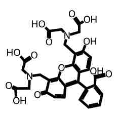 O=C(O)CN(CC(=O)O)Cc1c2oc3c(CN(CC(=O)O)CC(=O)O)c(O)ccc3c(-c3ccccc3C(=O)O)c-2ccc1=O